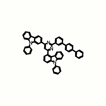 c1ccc(-c2ccc(-c3cccc(-c4nc(-c5ccc6c7ccccc7n(-c7ccccc7)c6c5)cc(-c5cccc6c5c5ccccc5n6-c5ccccc5)n4)c3)cc2)cc1